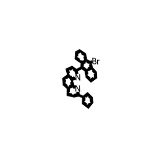 Brc1c2ccccc2c(-c2ccc3ccc4ccc(-c5ccccc5)nc4c3n2)c2ccccc12